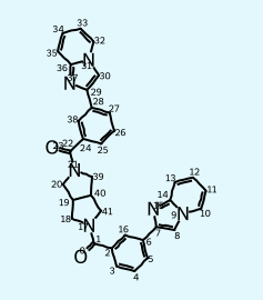 O=C(c1cccc(-c2cn3ccccc3n2)c1)N1CC2CN(C(=O)c3cccc(-c4cn5ccccc5n4)c3)CC2C1